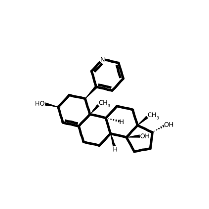 C[C@@]12C(=C[C@@H](O)C[C@H]1c1cccnc1)CC[C@@H]1[C@@H]2CC[C@]2(C)[C@H](O)CC[C@]12O